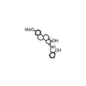 COc1ccc2c(c1)CCC1C2CC[C@]2(C)C1C[C@H](NCc1ccccc1O)[C@@H]2O